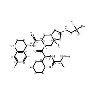 CN[C@@H](C)C(=O)N[C@H](C(=O)N1C[C@H]2C[C@@H](OCC(F)(F)F)CN2C[C@H]1C(=O)N[C@@H]1CCOc2cc(F)ccc21)C1CCCCC1